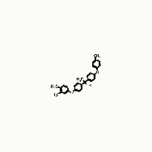 Cc1ccc(Oc2ccc(C(C)(C)c3ccc(Oc4ccc(C)c(C)c4)cc3)cc2)cc1